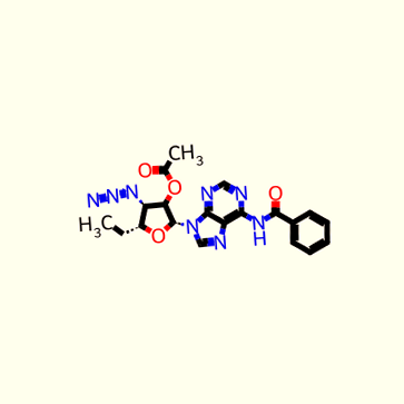 CC[C@H]1O[C@@H](n2cnc3c(NC(=O)c4ccccc4)ncnc32)C(OC(C)=O)[C@H]1N=[N+]=[N-]